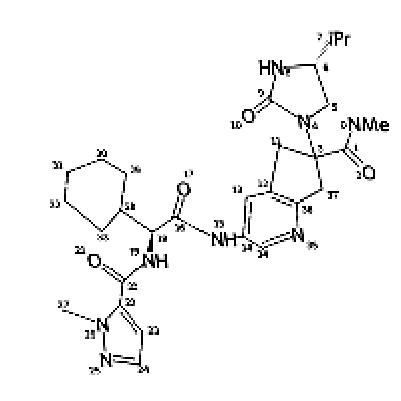 CNC(=O)C1(N2C[C@@H](C(C)C)NC2=O)Cc2cc(NC(=O)[C@@H](NC(=O)c3ccnn3C)C3CCCCC3)cnc2C1